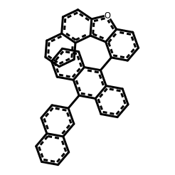 c1ccc2cc(-c3c4ccccc4c(-c4cccc5oc6ccc7ccccc7c6c45)c4ccccc34)ccc2c1